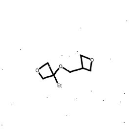 CCC1(OCC2COC2)COC1